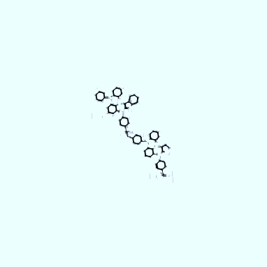 Cc1cc2c3c(c1)N(c1c#cc(C(C)(C)C)cc1)c1occc1B3c1ccccc1N2c1ccc(CC(C)(C)c2ccc(N3c4cc(C)cc5c4B(c4ccccc4N5c4ccccc4)c4c3sc3ccccc43)cc2)cc1